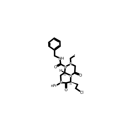 CCCN1C[C@H]2N(C(=O)CN(CI)N2C(=O)NCc2ccccc2)[C@@H](CCCl)C1=O